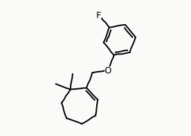 CC1(C)CCCCC=C1COc1cccc(F)c1